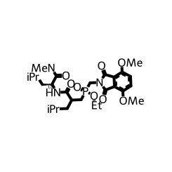 CCOP(=O)(CC(CC(C)C)C(=O)N[C@@H](CC(C)C)C(=O)NC)CN1C(=O)c2c(OC)ccc(OC)c2C1=O